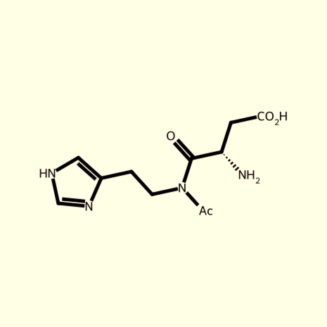 CC(=O)N(CCc1c[nH]cn1)C(=O)[C@@H](N)CC(=O)O